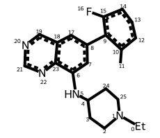 CCN1CCC(Nc2cc(-c3c(C)cccc3F)cc3cncnc23)CC1